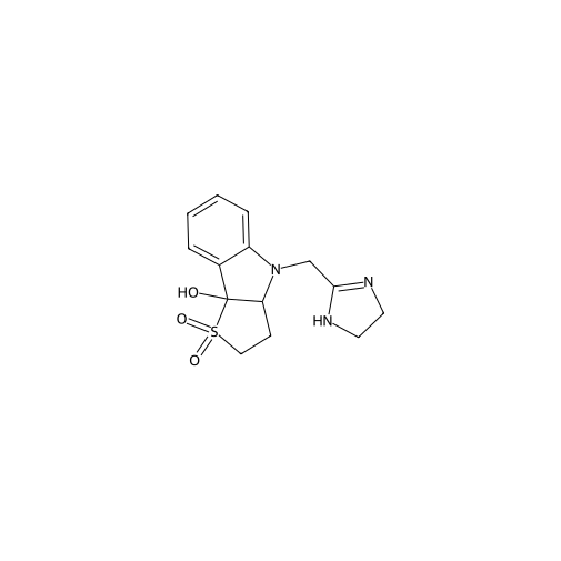 O=S1(=O)CCC2N(CC3=NCCN3)c3ccccc3C21O